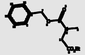 CCOC(=O)CN(C)C(=O)OCc1ccccc1